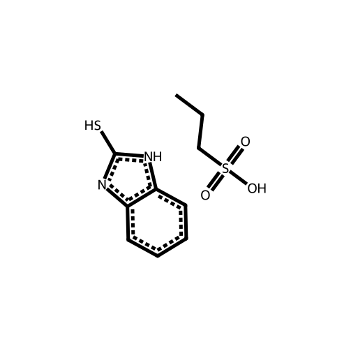 CCCS(=O)(=O)O.Sc1nc2ccccc2[nH]1